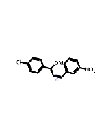 COC(/C=C\c1cccc([N+](=O)[O-])c1)c1ccc(Cl)cc1